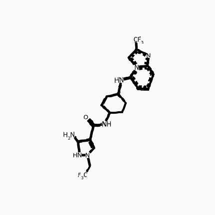 NC1NN(CC(F)(F)F)C=C1C(=O)NC1CCC(Nc2cccc3nc(C(F)(F)F)cn23)CC1